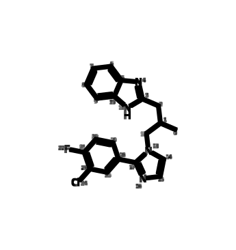 CC(Cc1nc2ccccc2[nH]1)Cn1ccnc1-c1ccc(F)c(Cl)c1